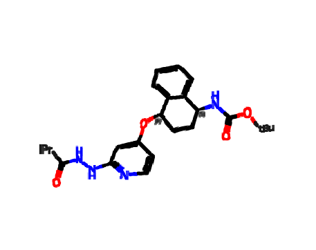 CC(C)C(=O)NNc1cc(O[C@@H]2CC[C@H](NC(=O)OC(C)(C)C)c3ccccc32)ccn1